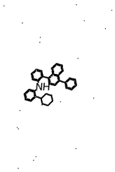 c1ccc(-c2ccc(-c3ccccc3Nc3ccccc3C3CCCCC3)c3ccccc23)cc1